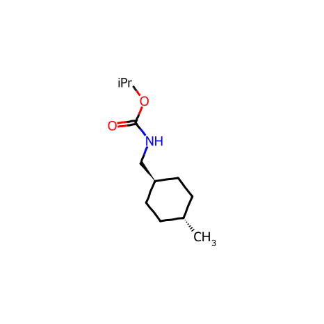 CC(C)OC(=O)NC[C@H]1CC[C@H](C)CC1